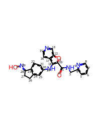 O=C(NCc1ccccn1)c1oc2cnccc2c1Nc1ccc2c(c1)CCC2=NO